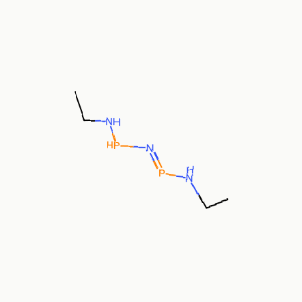 CCNP=NPNCC